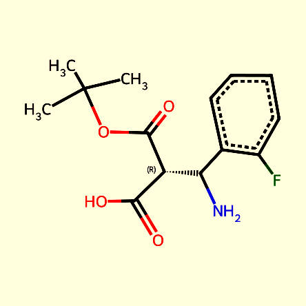 CC(C)(C)OC(=O)[C@@H](C(=O)O)C(N)c1ccccc1F